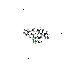 CC(C)(C)c1ccc2c(c1CCc1c(C(C)(C)C)ccc3c1Cc1ccccc1-3)Cc1ccccc1-2.[Cl-].[Cl-].[Hf+2]